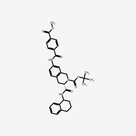 COC(=O)c1ccc(C(=O)Nc2ccc3c(c2)CN(C(=O)OC(C)(C)C)[C@H](C(=O)NC2CCCc4ccccc42)C3)cc1